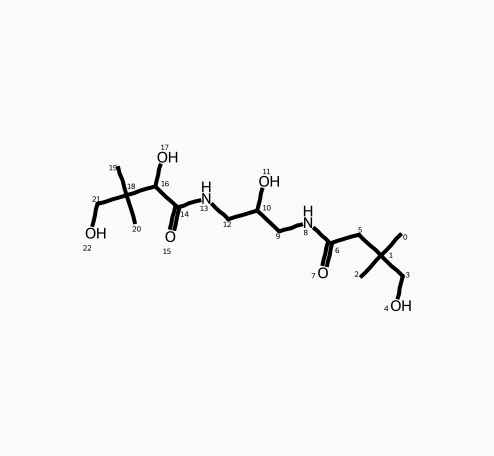 CC(C)(CO)CC(=O)NCC(O)CNC(=O)C(O)C(C)(C)CO